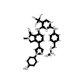 CN1Cc2c(-c3cnn(C4CCC(O)CC4)c3)ccc(Nc3nc(Nc4ccc(CO[PH2]=O)cc4)ncc3C(F)(F)F)c2C1=O